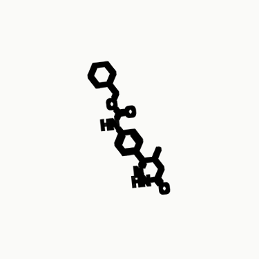 CC1CC(=O)NN=C1c1ccc(NC(=O)OCC2CCCCC2)cc1